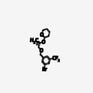 C[C@H](COCc1cc(Br)cc(C(F)(F)F)c1)OC1CCCCO1